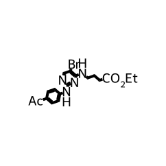 CCOC(=O)CCCNc1nc(Nc2ccc(C(C)=O)cc2)ncc1Br